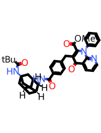 COC(=O)c1c(Cc2ccc(C(=O)N[C@H]3[C@@H]4C[C@H]5C[C@H]3C[C@](NC(=O)C(C)(C)C)(C5)C4)cc2)c(=O)c2cccnc2n1-c1ccccc1